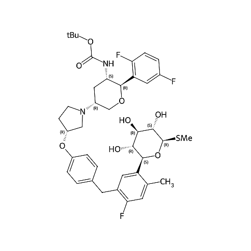 CS[C@H]1O[C@@H](c2cc(Cc3ccc(O[C@@H]4CCN([C@H]5CO[C@H](c6cc(F)ccc6F)[C@@H](NC(=O)OC(C)(C)C)C5)C4)cc3)c(F)cc2C)[C@H](O)[C@@H](O)[C@@H]1O